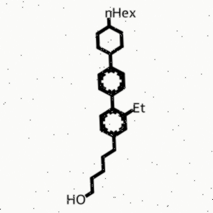 CCCCCCC1CCC(c2ccc(-c3ccc(CCCCCO)cc3CC)cc2)CC1